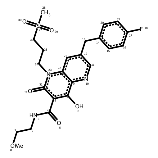 COCCNC(=O)c1c(O)c2ncc(Cc3ccc(F)cc3)cc2n(CCCS(C)(=O)=O)c1=O